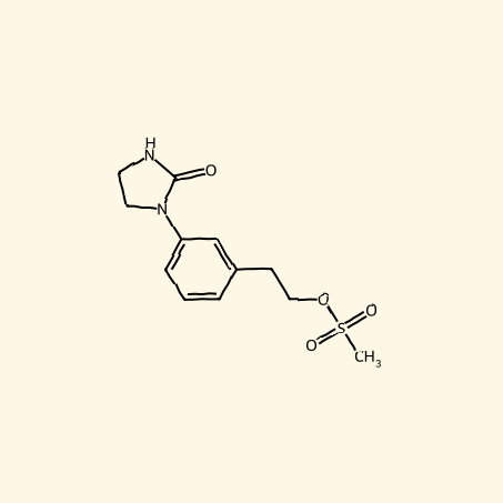 CS(=O)(=O)OCCc1cccc(N2CCNC2=O)c1